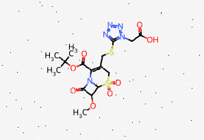 COC1C(=O)N2C(C(=O)OC(C)(C)C)=C(CSc3nnnn3CC(=O)O)CS(=O)(=O)C12